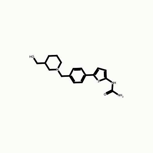 NC(=O)Nc1ccc(-c2ccc(CN3CCCC(CO)C3)cc2)s1